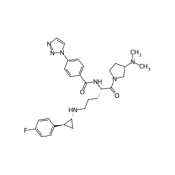 CN(C)C1CCN(C(=O)[C@H](CCCN[C@@H]2C[C@H]2c2ccc(F)cc2)NC(=O)c2ccc(-n3ccnn3)cc2)C1